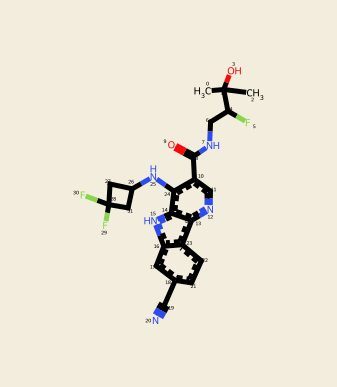 CC(C)(O)C(F)CNC(=O)c1cnc2c([nH]c3cc(C#N)ccc32)c1NC1CC(F)(F)C1